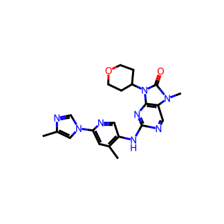 Cc1cn(-c2cc(C)c(Nc3ncc4c(n3)n(C3CCOCC3)c(=O)n4C)cn2)cn1